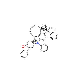 C=C1/C=C\C=C/CC(C)(C)c2c3c(c4c5ccccc5n(-c5ccc6oc7ccccc7c6c5)c4c21)-c1ccccc1C3(C)C